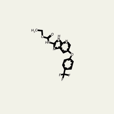 CCOC(=O)Nc1nc2cc(Oc3ccc(C(F)(F)F)cc3)cnc2[nH]1